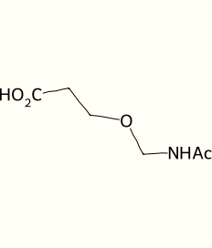 CC(=O)NCOCCC(=O)O